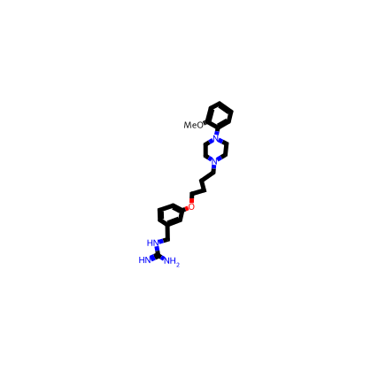 COc1ccccc1N1CCN(CCCCOc2cccc(CNC(=N)N)c2)CC1